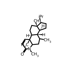 CC1CC2N(C)C(=O)C=C[C@]2(C)[C@H]2CC[C@]3(C)[C@@H](C(C)C)CC[C@H]3[C@H]12